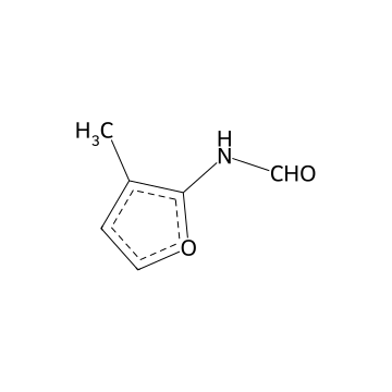 Cc1ccoc1NC=O